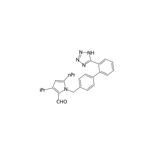 CCCc1cc(C(C)C)c(C=O)n1Cc1ccc(-c2ccccc2-c2nnn[nH]2)cc1